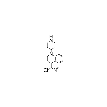 Clc1ncc2cccc3c2c1CCN3C1CCNCC1